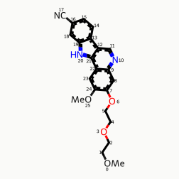 COCCOCCOc1cc2ncc3c4ccc(C#N)cc4[nH]c3c2cc1OC